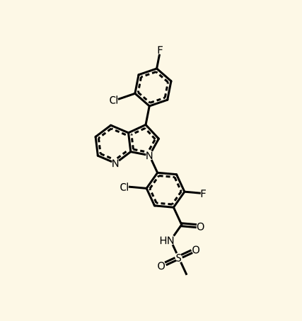 CS(=O)(=O)NC(=O)c1cc(Cl)c(-n2cc(-c3ccc(F)cc3Cl)c3cccnc32)cc1F